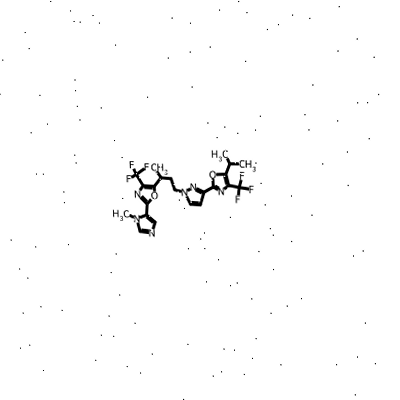 CC(C)c1oc(-c2ccn(CCC(C)c3oc(-c4cncn4C)nc3C(F)(F)F)n2)nc1C(F)(F)F